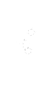 CCc1cc2c(cc1CC)CC(C)(NCc1ccccc1)C2